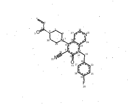 C=CC(=O)C1CCN(c2c(C#N)c(=O)n(Cc3ccc(F)cc3)c3cnccc23)CC1